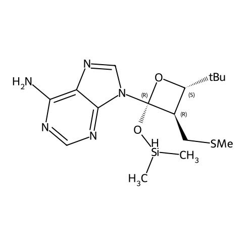 CSC[C@@H]1[C@@H](C(C)(C)C)O[C@]1(O[SiH](C)C)n1cnc2c(N)ncnc21